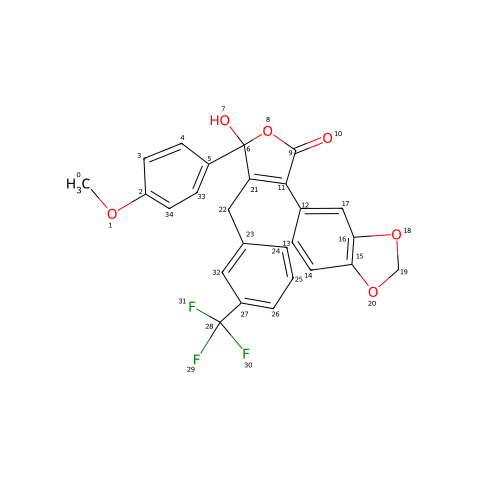 COc1ccc(C2(O)OC(=O)C(c3ccc4c(c3)OCO4)=C2Cc2cccc(C(F)(F)F)c2)cc1